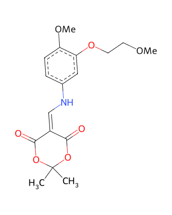 COCCOc1cc(NC=C2C(=O)OC(C)(C)OC2=O)ccc1OC